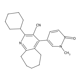 Cn1cc(-c2c(C#N)c(C3CCCCC3)nc3c2CCCCC3)ccc1=O